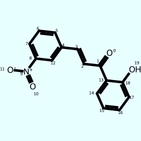 O=C(C=Cc1cccc([N+](=O)[O-])c1)c1ccccc1O